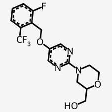 OCC1CN(c2ncc(OCc3c(F)cccc3C(F)(F)F)cn2)CCO1